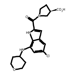 O=C(O)[C@@H]1CCN(C(=O)c2cc3cc(Cl)cc(NC4CCOCC4)c3[nH]2)C1